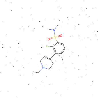 CCN1CC=C(c2cccc(S(=O)(=O)N(C)C)c2F)CC1